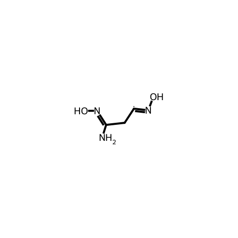 NC(C/[C]=N/O)=NO